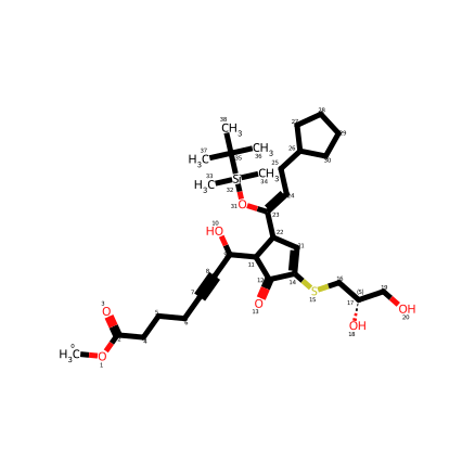 COC(=O)CCCC#CC(O)C1C(=O)C(SC[C@@H](O)CO)=CC1C(=CCC1CCCC1)O[Si](C)(C)C(C)(C)C